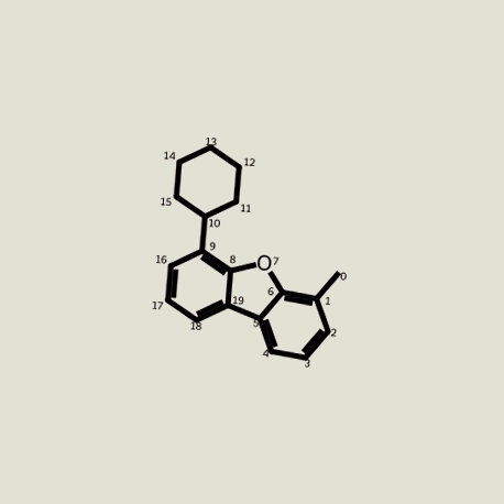 Cc1cccc2c1oc1c(C3CCCCC3)cccc12